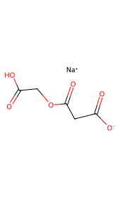 O=C([O-])CC(=O)OCC(=O)O.[Na+]